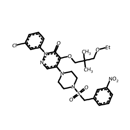 CCOCC(C)(C)COc1c(N2CCN(S(=O)(=O)Cc3cccc([N+](=O)[O-])c3)CC2)cnn(-c2cccc(Cl)c2)c1=O